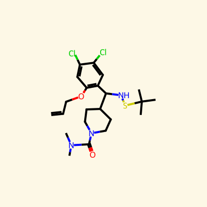 C=CCOc1cc(Cl)c(Cl)cc1C(NSC(C)(C)C)C1CCN(C(=O)N(C)C)CC1